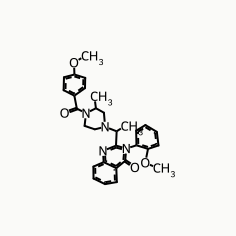 COc1ccc(C(=O)N2CCN(C(C)c3nc4ccccc4c(=O)n3-c3ccccc3OC)CC2C)cc1